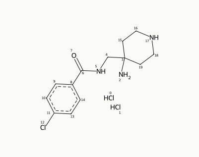 Cl.Cl.NC1(CNC(=O)c2ccc(Cl)cc2)CCNCC1